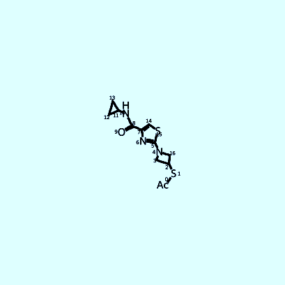 CC(=O)SC1CN(c2nc(C(=O)NC3CC3)cs2)C1